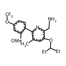 CCC(CC)Oc1cc(C)c(-c2ccc(OC(F)(F)F)cc2OC)nc1CN